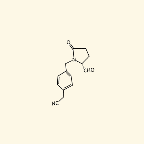 N#CCc1ccc(CN2C(=O)CC[C@@H]2C=O)cc1